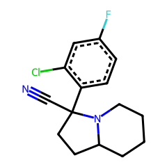 N#CC1(c2ccc(F)cc2Cl)CCC2CCCCN21